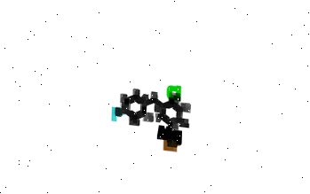 Fc1ccc(Cc2c[c]([Mg][Br])ccc2Cl)cc1